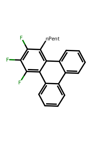 CCCCCc1c(F)c(F)c(F)c2c3ccccc3c3ccccc3c12